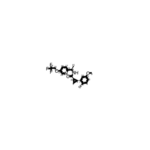 COc1ccc(F)c([C@@H]2C[C@H]2C(=O)N[C@H](C)c2ccc(OCC(F)(F)F)cn2)c1